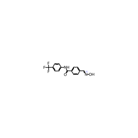 O=C(Nc1ccc(C(F)(F)F)cc1)c1ccc(/C=N/O)cc1